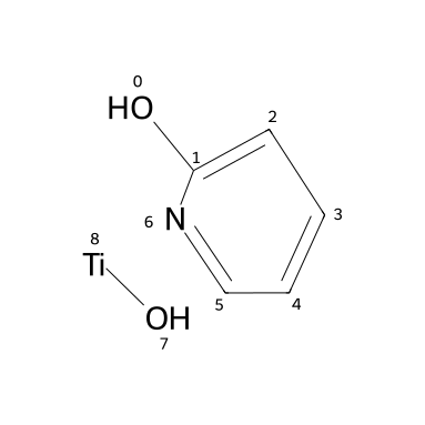 Oc1ccccn1.[OH][Ti]